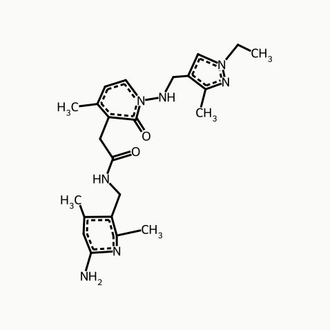 CCn1cc(CNn2ccc(C)c(CC(=O)NCc3c(C)cc(N)nc3C)c2=O)c(C)n1